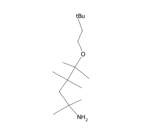 CC(C)(C)CCOC(C)(C)C(C)(C)CC(C)(C)N